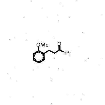 CCCC(=O)CCc1ccccc1OC